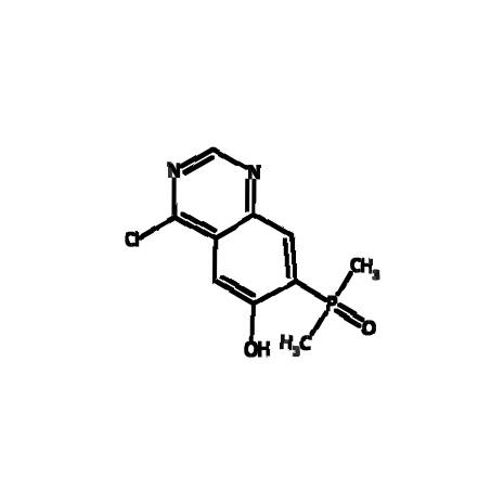 CP(C)(=O)c1cc2ncnc(Cl)c2cc1O